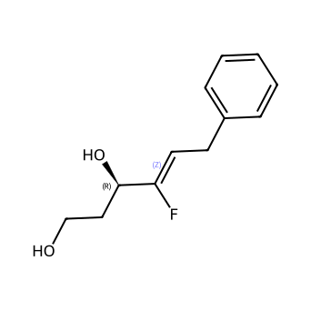 OCC[C@@H](O)/C(F)=C/Cc1ccccc1